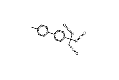 Cc1ccc(-c2ccc(C(N=C=O)(N=C=O)N=C=O)cc2)cc1